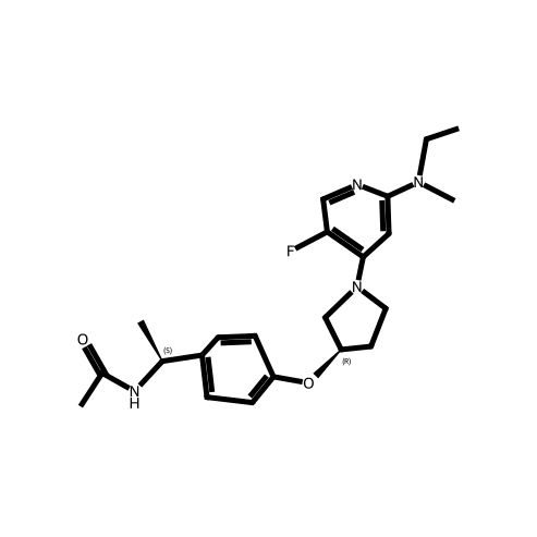 CCN(C)c1cc(N2CC[C@@H](Oc3ccc([C@H](C)NC(C)=O)cc3)C2)c(F)cn1